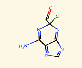 NC1=NC(Cl)(C=O)N=C2N=CN=C12